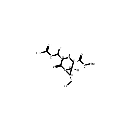 CCC(NC(=N)N)[C@H]1N[C@H](C(=O)NC(C)(C)C)[C@H]2[C@H](CC(C)C)N2C1=O